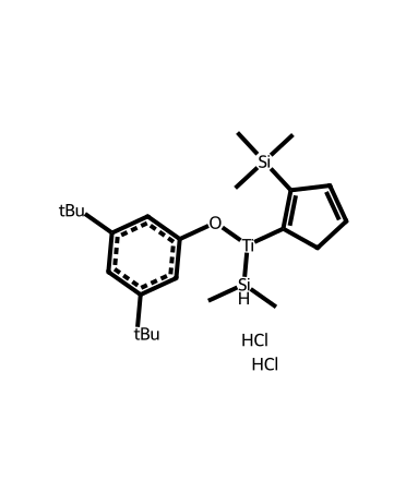 C[SiH](C)[Ti]([O]c1cc(C(C)(C)C)cc(C(C)(C)C)c1)[C]1=C([Si](C)(C)C)C=CC1.Cl.Cl